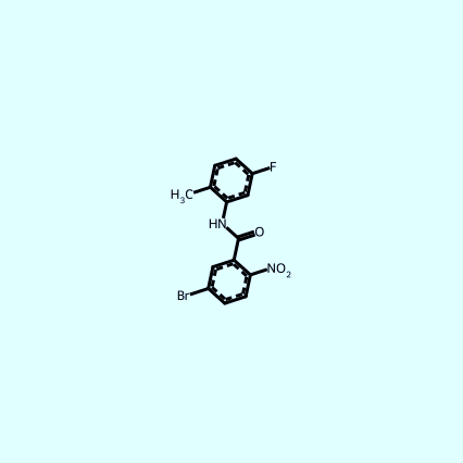 Cc1ccc(F)cc1NC(=O)c1cc(Br)ccc1[N+](=O)[O-]